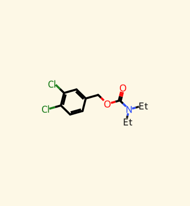 CCN(CC)C(=O)OCc1ccc(Cl)c(Cl)c1